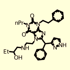 CCCn1c(=O)c2c(nc(C(c3ccccc3)c3cc[nH]n3)n2CCNCC(O)CC)n(CCc2ccccc2)c1=O